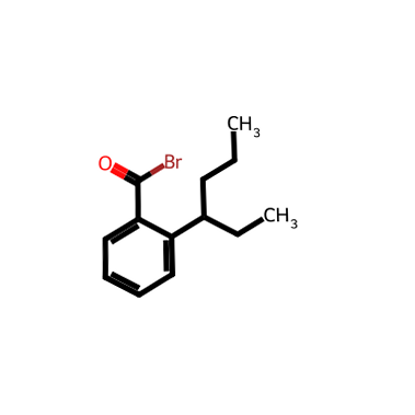 CCCC(CC)c1ccccc1C(=O)Br